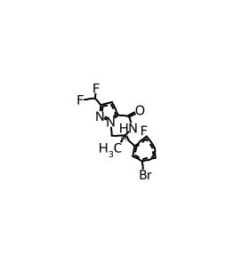 C[C@@]1(c2cc(Br)ccc2F)Cn2nc(C(F)F)cc2C(=O)N1